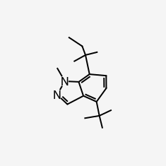 CCC(C)(C)c1ccc(C(C)(C)C)c2cnn(C)c12